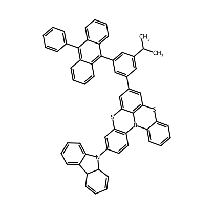 CC(C)c1cc(-c2cc3c4c(c2)Sc2cc(N5c6ccccc6C6C=CC=CC65)ccc2B4c2ccccc2S3)cc(-c2c3ccccc3c(-c3ccccc3)c3ccccc23)c1